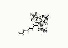 CCCCCCCC[Si](OC(=O)C(F)(F)F)(OC(=O)C(F)(F)F)OC(=O)C(F)(F)F